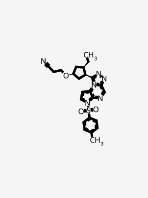 CC[C@@H]1C[C@@H](OCCC#N)C[C@@H]1c1nnc2cnc3c(ccn3S(=O)(=O)c3ccc(C)cc3)n12